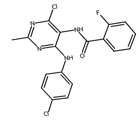 Cc1nc(Cl)c(NC(=O)c2ccccc2F)c(Nc2ccc(Cl)cc2)n1